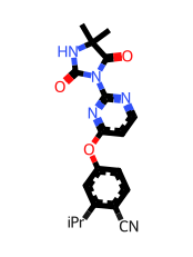 CC(C)c1cc(Oc2ccnc(N3C(=O)NC(C)(C)C3=O)n2)ccc1C#N